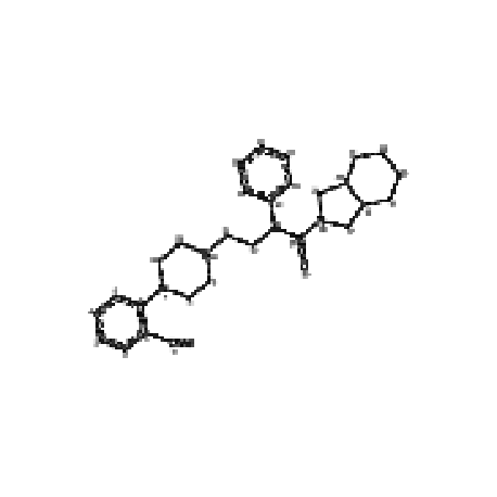 COc1ccccc1N1CCN(CCC(C(=O)N2CC3CCCCC3C2)c2ccccc2)CC1